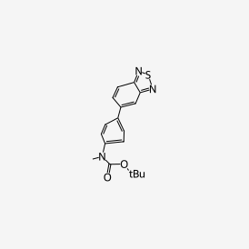 CN(C(=O)OC(C)(C)C)c1ccc(-c2ccc3nsnc3c2)cc1